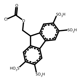 O=C(Cl)OCC1c2cc(S(=O)(=O)O)c(S(=O)(=O)O)cc2-c2cc(S(=O)(=O)O)c(S(=O)(=O)O)cc21